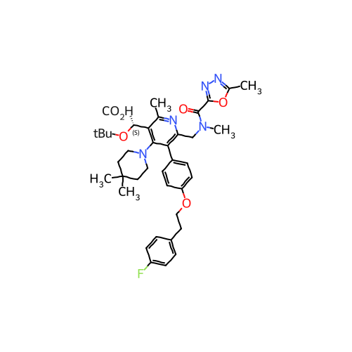 Cc1nnc(C(=O)N(C)Cc2nc(C)c([C@H](OC(C)(C)C)C(=O)O)c(N3CCC(C)(C)CC3)c2-c2ccc(OCCc3ccc(F)cc3)cc2)o1